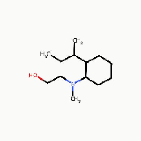 CCC(C)C1CCCCC1N(C)CCO